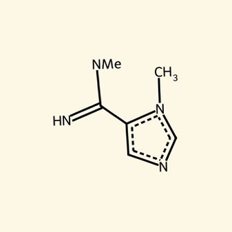 CNC(=N)c1cncn1C